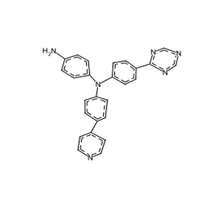 Nc1ccc(N(c2ccc(-c3ccncc3)cc2)c2ccc(-c3ncncn3)cc2)cc1